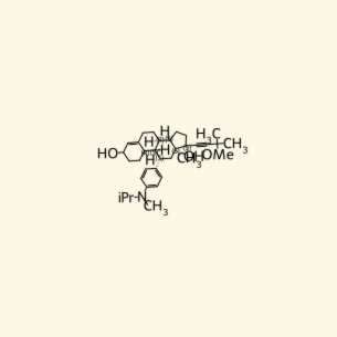 COC(C)(C)C#C[C@]1(O)CC[C@H]2[C@@H]3CCC4=CC(O)CC[C@@H]4[C@H]3[C@@H](c3ccc(N(C)C(C)C)cc3)C[C@@]21C